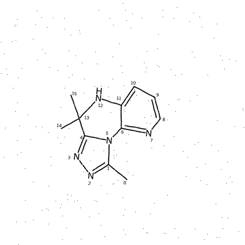 Cc1nnc2n1-c1ncccc1NC2(C)C